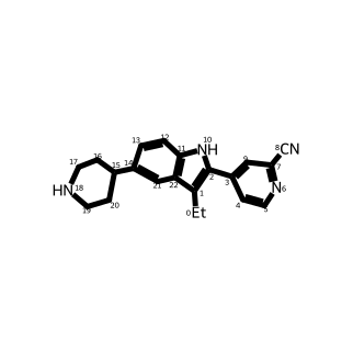 CCc1c(-c2ccnc(C#N)c2)[nH]c2ccc(C3CCNCC3)cc12